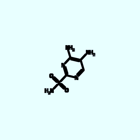 Nc1cnc(S(N)(=O)=O)nc1N